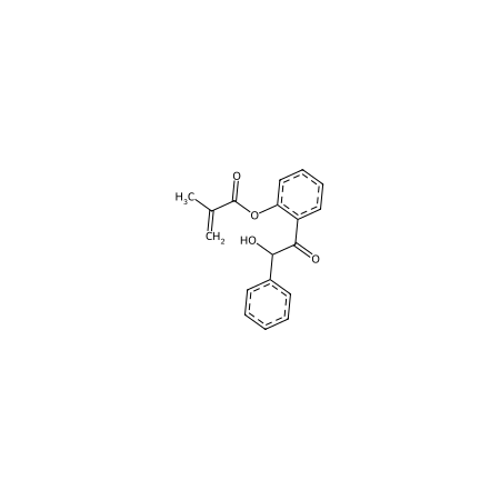 C=C(C)C(=O)Oc1ccccc1C(=O)C(O)c1ccccc1